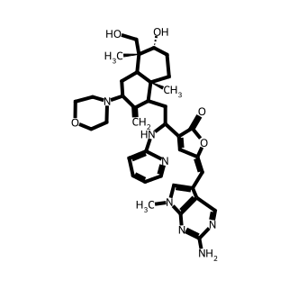 C=C1C(N2CCOCC2)CC2[C@](C)(CC[C@@H](O)[C@@]2(C)CO)C1CC(Nc1ccccn1)C1=C/C(=C\c2cn(C)c3nc(N)ncc23)OC1=O